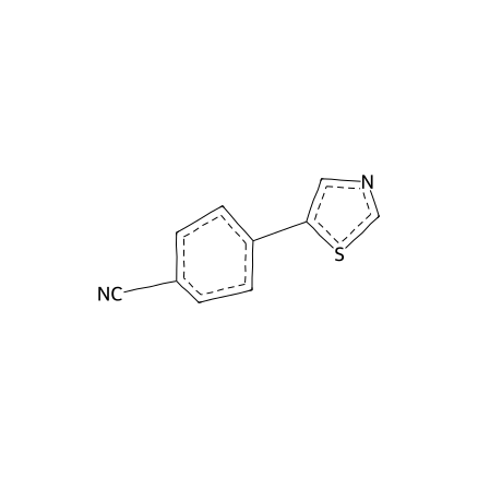 N#Cc1ccc(-c2cncs2)cc1